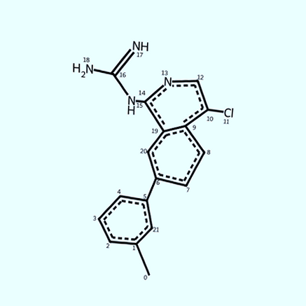 Cc1cccc(-c2ccc3c(Cl)cnc(NC(=N)N)c3c2)c1